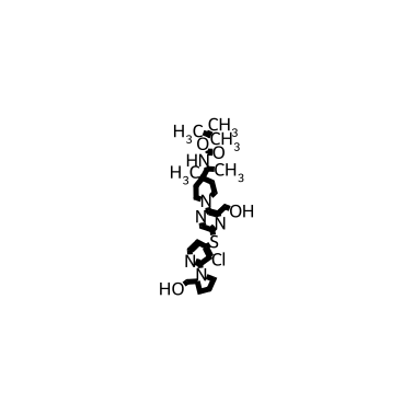 CC(NC(=O)OC(C)(C)C)C1(C)CCN(c2ncc(Sc3ccnc(N4CCCC4CO)c3Cl)nc2CO)CC1